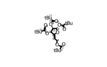 CC(C)(C)C(=O)OC/C=C1\O[C@@H](OC(=O)C(C)(C)C)[C@H](OC(=O)C(C)(C)C)[C@H]1OC(=O)C(C)(C)C